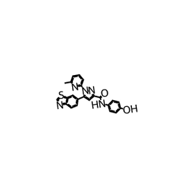 Cc1cccc(-n2nc(C(=O)Nc3ccc(O)cc3)cc2-c2ccc3ncsc3c2)n1